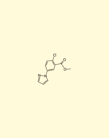 COC(=O)c1cc(-n2cccn2)ccc1Cl